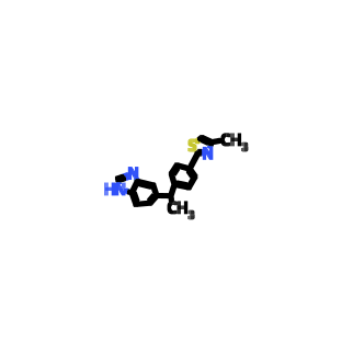 Cc1csc(-c2ccc(C(C)c3ccc4[nH]cnc4c3)cc2)n1